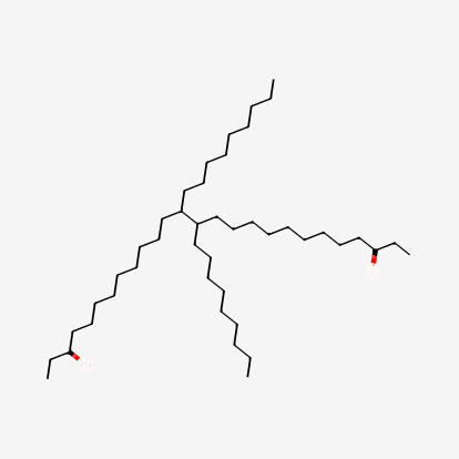 CCCCCCCCCC(CCCCCCCCCC(=O)CC)C(CCCCCCCCC)CCCCCCCCCC(=O)CC